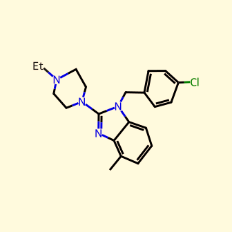 CCN1CCN(c2nc3c(C)cccc3n2Cc2ccc(Cl)cc2)CC1